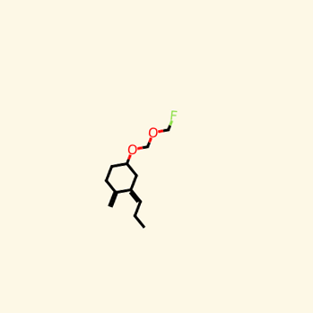 C=C1CCC(OCOCF)C/C1=C/CC